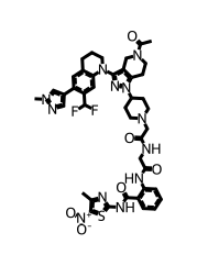 CC(=O)N1CCc2c(c(N3CCCc4cc(-c5cnn(C)c5)c(C(F)F)cc43)nn2C2CCN(CC(=O)NCC(=O)Nc3ccccc3C(=O)Nc3nc(C)c([N+](=O)[O-])s3)CC2)C1